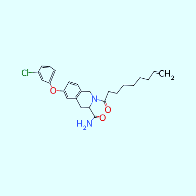 C=CCCCCCCC(=O)N1Cc2ccc(Oc3cccc(Cl)c3)cc2CC1C(N)=O